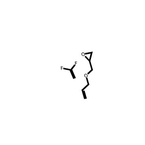 C=C(F)F.C=CCOCC1CO1